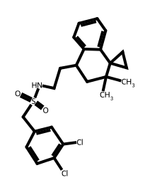 CC1(C)CC(CCNS(=O)(=O)Cc2ccc(Cl)c(Cl)c2)c2ccccc2C12CC2